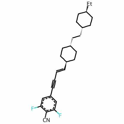 CC[C@H]1CC[C@H](CC[C@H]2CC[C@H](C=CC#Cc3cc(F)c(C#N)c(F)c3)CC2)CC1